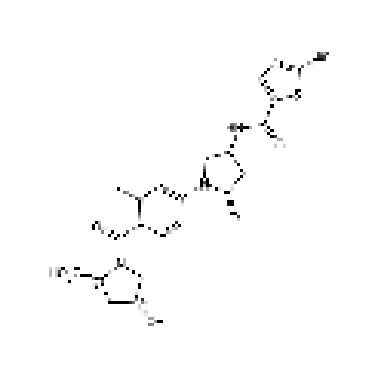 Cc1cc(N2CC(NC(=O)c3ccc(Br)s3)CC2=O)ccc1C(=O)N1C[C@H](O)C[C@H]1C(=O)O